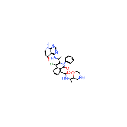 CC(Nc1ncnc2[nH]ccc(=O)c12)c1c(Cl)c2cccc(C(=O)NC(C)C3CNCCO3)c2c(=O)n1-c1ccccc1